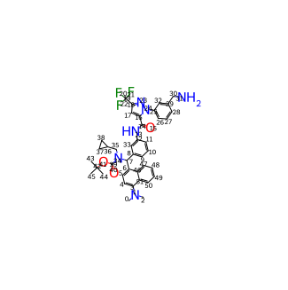 CN(C)c1ccc(C(c2cccc(NC(=O)c3cc(C(F)(F)F)nn3-c3cccc(CN)c3)c2)N(CC2CC2)C(=O)OC(C)(C)C)c2ccccc12